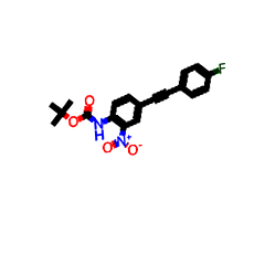 CC(C)(C)OC(=O)Nc1ccc(C#Cc2ccc(F)cc2)cc1[N+](=O)[O-]